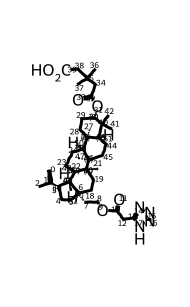 C=C(C)[C@@H]1CC[C@]2(CCOC(=O)Cc3nnn[nH]3)CC[C@]3(C)[C@H](CC[C@@H]4[C@@]5(C)CC[C@H](OC(=O)CC(C)(C)CC(=O)O)C(C)(C)[C@@H]5CC[C@]43C)[C@@H]12